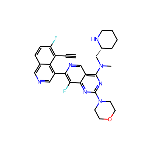 C#Cc1c(F)ccc2cncc(-c3ncc4c(N(C)C[C@H]5CCCCN5)nc(N5CCOCC5)nc4c3F)c12